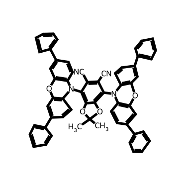 CC1(C)Oc2c(c(N3c4ccc(-c5ccccc5)cc4Oc4cc(-c5ccccc5)ccc43)c(C#N)c(C#N)c2N2c3ccc(-c4ccccc4)cc3Oc3cc(-c4ccccc4)ccc32)O1